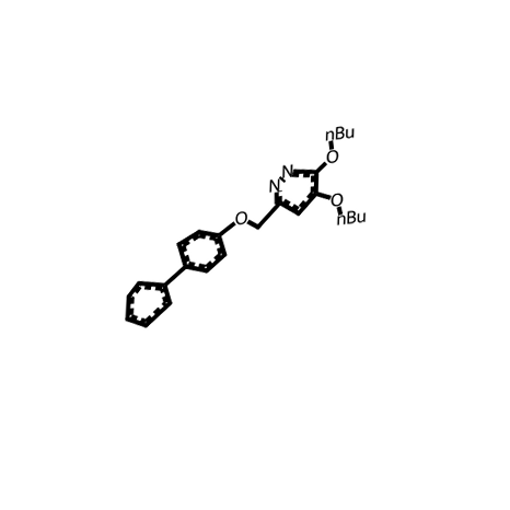 CCCCOc1cc(COc2ccc(-c3ccccc3)cc2)nnc1OCCCC